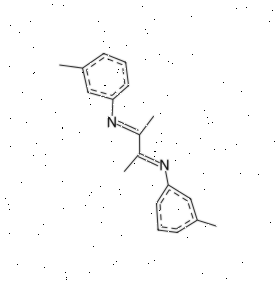 CC(=N\c1cccc(C)c1)/C(C)=N/c1cccc(C)c1